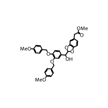 COC(=O)Cc1ccc2c(c1)OC(C(O)c1ccc(OCc3ccc(OC)cc3)c(OCc3ccc(OC)cc3)c1)O2